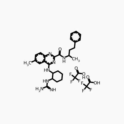 Cc1ccc2nc(C(=O)NC(C)CCc3ccccc3)nc(NC3CCCCC3NC(=N)N)c2c1.O=C(O)C(F)(F)F.O=C(O)C(F)(F)F